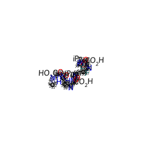 C=C(/C=N\C=C(/C)c1c(C)cccc1C)[C@@H](CC(=O)O)NC(=O)C(CC(C)C)n1ccc(-c2ccc(C)c(-c3cncc([C@H](CC(=O)O)NC(=O)C(CC(C)C)n4ccc(Cc5ccc(F)c(-c6cncc([C@H](CC(=O)O)NC(=O)C(CC(C)C)n7ccc(C)cc7=O)c6)c5F)cc4=O)c3)c2C)cc1=O